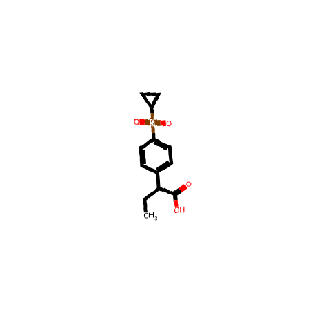 CCC(C(=O)O)c1ccc(S(=O)(=O)C2CC2)cc1